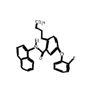 CCN(C(=O)c1cc(Oc2ccccc2F)ccc1CCCC(=O)O)c1cccc2ccccc12